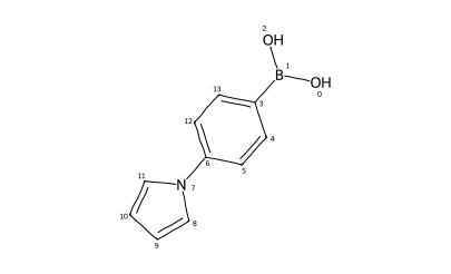 OB(O)c1ccc(-n2cccc2)cc1